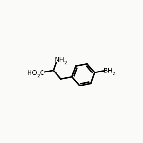 Bc1ccc(CC(N)C(=O)O)cc1